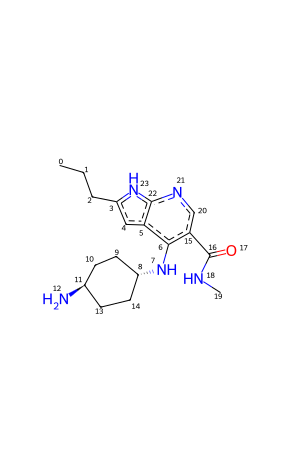 CCCc1cc2c(N[C@H]3CC[C@H](N)CC3)c(C(=O)NC)cnc2[nH]1